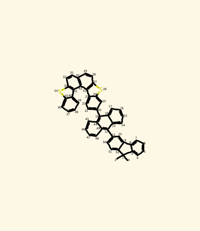 CC1(C)c2ccccc2-c2cc(-c3c4ccccc4c(-c4ccc5c(c4)sc4ccc6ccc7sc8ccccc8c7c6c45)c4ccccc34)ccc21